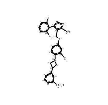 CC(C)c1onc(-c2c(Cl)cccc2Cl)c1COc1ccc(N2CC(c3cccc(C(=O)O)c3)C2)c(Cl)c1